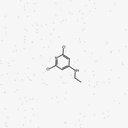 CCNc1cc(Cl)nc(Cl)c1